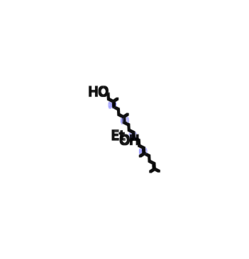 CC(C)=CCC/C(C)=C/CC/C(C)=C/CC/C=C(\C)CC/C=C(\C)CCO.CCO